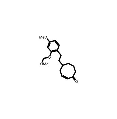 COCOc1cc(OC)ccc1CCC1C/C=C\C(=O)CCC1